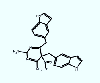 NC1=NC(N)N=C(Cc2ccc3[nH]ccc3c2)C1(Cc1ccc2[nH]ccc2c1)[N+](=O)[O-]